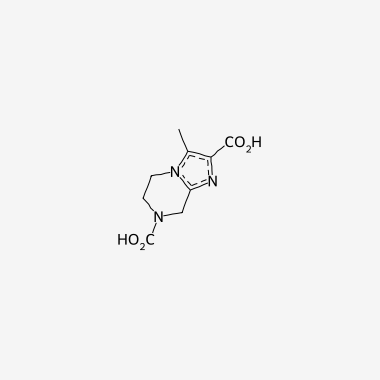 Cc1c(C(=O)O)nc2n1CCN(C(=O)O)C2